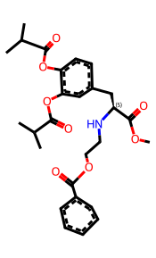 COC(=O)[C@H](Cc1ccc(OC(=O)C(C)C)c(OC(=O)C(C)C)c1)NCCOC(=O)c1ccccc1